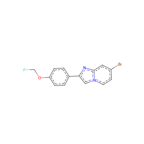 FCOc1ccc(-c2cn3ccc(Br)cc3n2)cc1